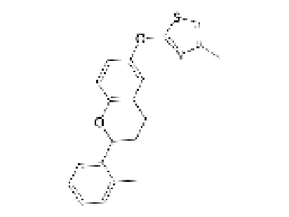 Cc1csc(Oc2ccc3c(c2)CCC(c2ccccc2C)O3)n1